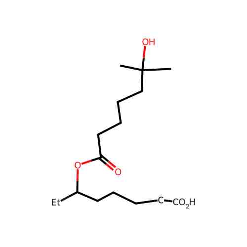 CCC(CCCCC(=O)O)OC(=O)CCCCC(C)(C)O